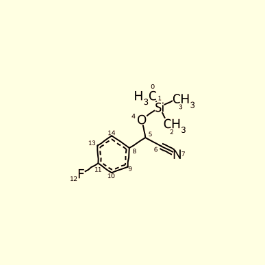 C[Si](C)(C)OC(C#N)c1ccc(F)cc1